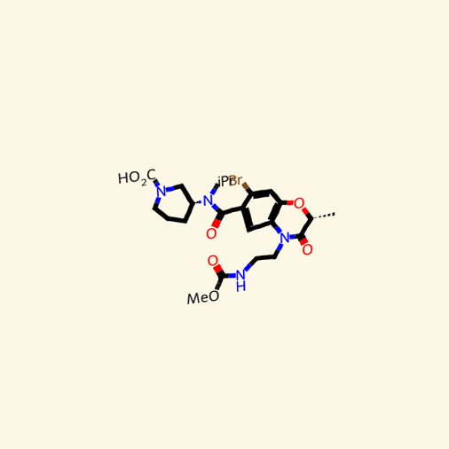 COC(=O)NCCN1C(=O)[C@@H](C)Oc2cc(Br)c(C(=O)N(C(C)C)[C@@H]3CCCN(C(=O)O)C3)cc21